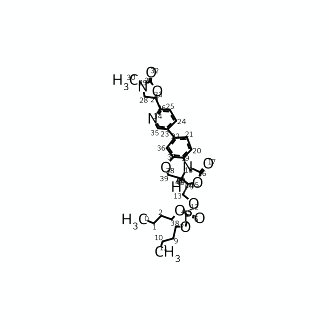 CCCCOP(=O)(OCCCC)OC[C@@H]1OC(=O)N2c3ccc(-c4ccc(C5CN(C)C(=O)O5)nc4)cc3OC[C@@H]12